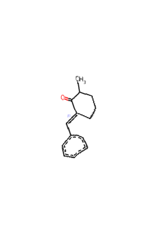 CC1CCC/C(=C\c2ccccc2)C1=O